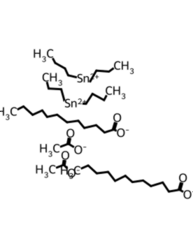 CC(=O)[O-].CC(=O)[O-].CCCCCCCCCCCC(=O)[O-].CCCCCCCCCCCC(=O)[O-].CCC[CH2][Sn+2][CH2]CCC.CCC[CH2][Sn+2][CH2]CCC